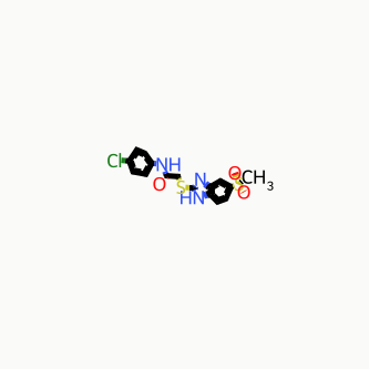 CS(=O)(=O)c1ccc2[nH]c(SCC(=O)Nc3ccc(Cl)cc3)nc2c1